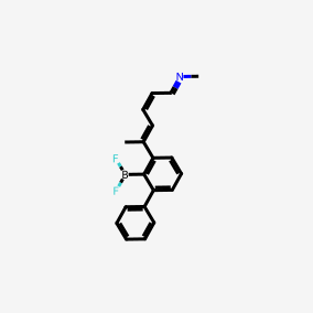 C/N=C/C=C\C=C(/C)c1cccc(-c2ccccc2)c1B(F)F